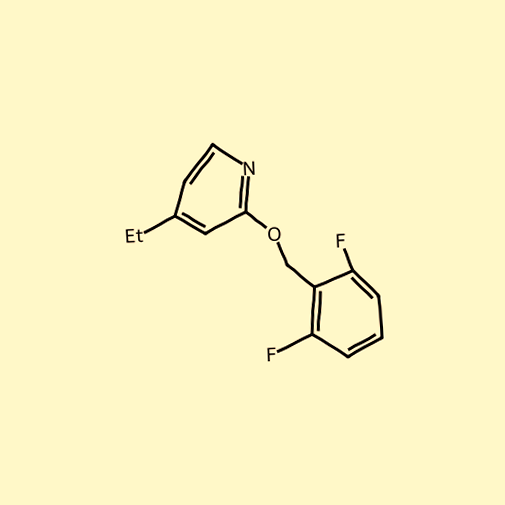 CCc1ccnc(OCc2c(F)cccc2F)c1